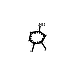 Cc1ccc(N=O)cc1C